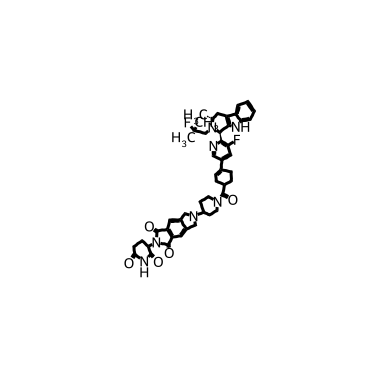 C[C@@H]1Cc2c([nH]c3ccccc23)[C@@H](c2ncc(C3=CCC(C(=O)N4CCC(N5Cc6cc7c(cc6C5)C(=O)N(C5CCC(=O)NC5=O)C7=O)CC4)CC3)cc2F)N1CC(C)(C)F